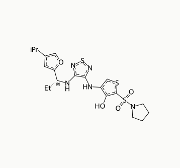 CC[C@@H](Nc1nsnc1Nc1csc(S(=O)(=O)N2CCCC2)c1O)c1cc(C(C)C)co1